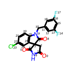 O=C1CC2(C(=O)N1)C(=O)N(Cc1cc(F)cc(F)c1)c1ccc(Cl)cc12